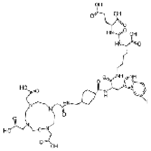 O=C(O)CC[C@H](NC(=O)N[C@@H](CCCCNC(=O)[C@@H](Cc1c[nH]c2ccc(I)cc12)NC(=O)[C@H]1CC[C@H](CNC(=O)CN2CCN(CC(=O)O)CCN(CC(=O)O)CCN(CC(=O)O)CC2)CC1)C(=O)O)C(=O)O